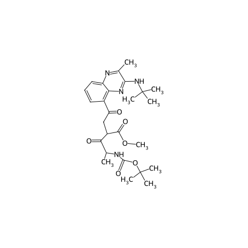 COC(=O)C(CC(=O)c1cccc2nc(C)c(NC(C)(C)C)nc12)C(=O)C(C)NC(=O)OC(C)(C)C